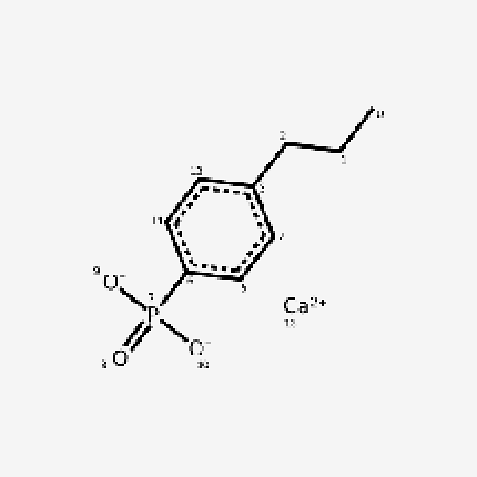 CCCc1ccc(P(=O)([O-])[O-])cc1.[Ca+2]